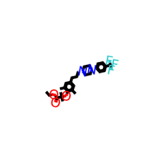 CCOC(=O)C(C)(C)Oc1c(C)cc(CCCN2CCN(c3ccc(C(F)(F)F)cc3)CC2)cc1C